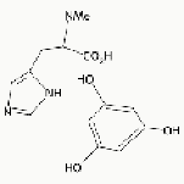 CNC(Cc1cnc[nH]1)C(=O)O.Oc1cc(O)cc(O)c1